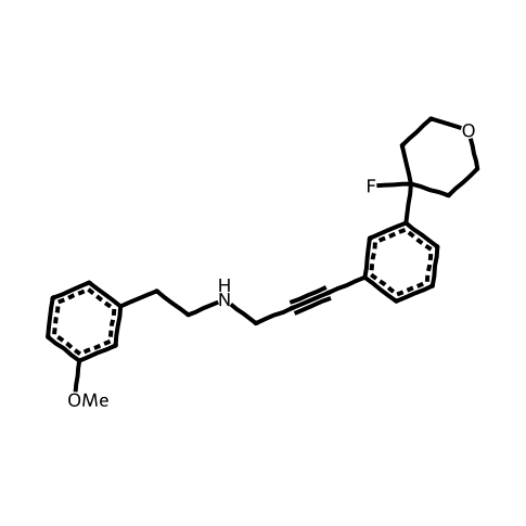 COc1cccc(CCNCC#Cc2cccc(C3(F)CCOCC3)c2)c1